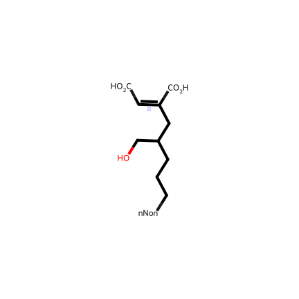 CCCCCCCCCCCCC(CO)C/C(=C/C(=O)O)C(=O)O